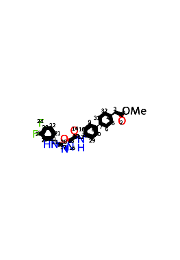 COC(=O)C[C@H]1CC[C@H](c2ccc(NC(=O)c3nnc(Nc4ccc(F)c(F)c4)o3)cc2)CC1